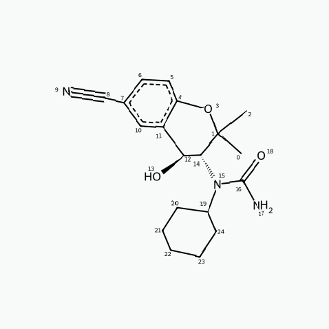 CC1(C)Oc2ccc(C#N)cc2[C@H](O)[C@H]1N(C(N)=O)C1CCCCC1